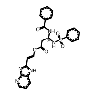 O=C(C[C@@H](NC(=O)c1ccccc1)NS(=O)(=O)c1ccccc1)OC=Cc1nc2ncccc2[nH]1